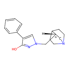 Oc1nn(C[C@H]2CN3CCC2CC3)cc1-c1ccccc1